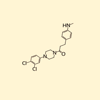 CNc1ccc(CCC(=O)N2CCN(c3ccc(Cl)c(Cl)c3)CC2)cc1